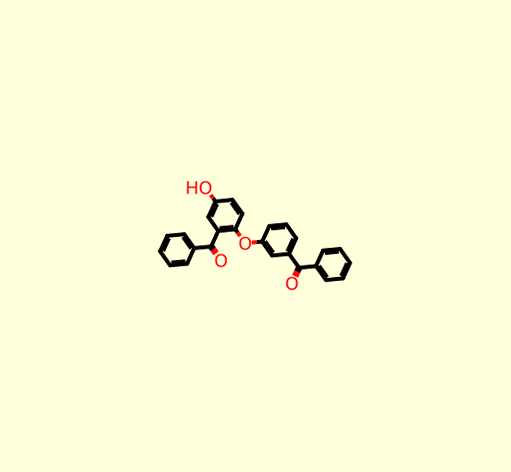 O=C(c1ccccc1)c1cccc(Oc2ccc(O)cc2C(=O)c2ccccc2)c1